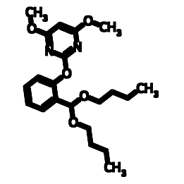 CCCCOC(OCCCC)c1ccccc1Oc1nc(OC)cc(OC)n1